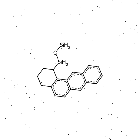 [SiH3]O[SiH2]C1CCCc2ccc3cc4ccccc4cc3c21